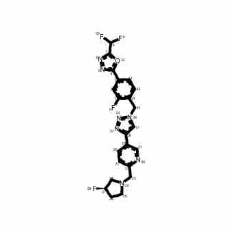 Fc1cc(-c2nnc(C(F)F)o2)ccc1Cn1cc(-c2ccc(CN3CC[C@@H](F)C3)nc2)nn1